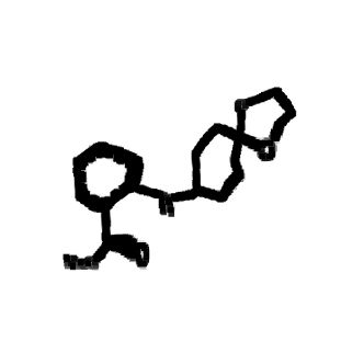 COC(=O)c1ccccc1NC1CCC2(CC1)OCCO2